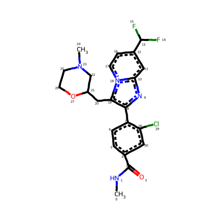 CNC(=O)c1ccc(-c2nc3cc(C(F)F)ccn3c2CC2CN(C)CCO2)c(Cl)c1